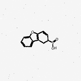 O=S(O)C1C=Cc2oc3ccccc3c2C1